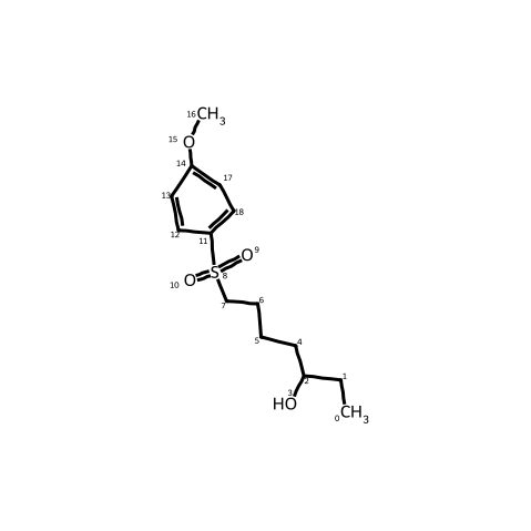 CCC(O)CCCCS(=O)(=O)c1ccc(OC)cc1